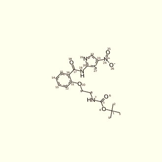 CC(C)(C)OC(=O)NCCOc1ccccc1C(=O)Nc1ncc([N+](=O)[O-])s1